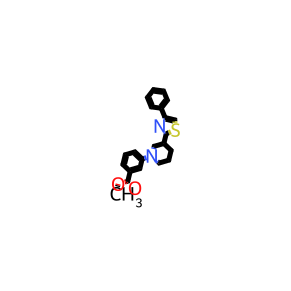 COC(=O)c1cccc(N2CCCC(c3nc(-c4ccccc4)cs3)C2)c1